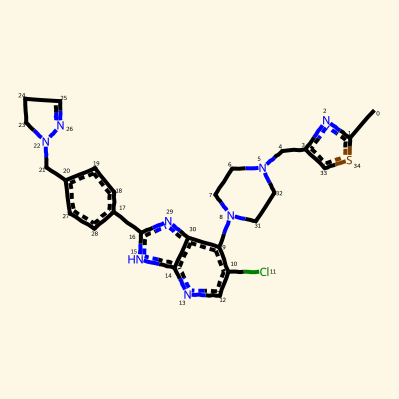 Cc1nc(CN2CCN(c3c(Cl)cnc4[nH]c(-c5ccc(CN6CCC=N6)cc5)nc34)CC2)cs1